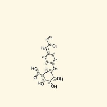 C=CC(=O)Nc1ccc(OC2OC(C(=O)O)C(O)C(O)C2O)cc1